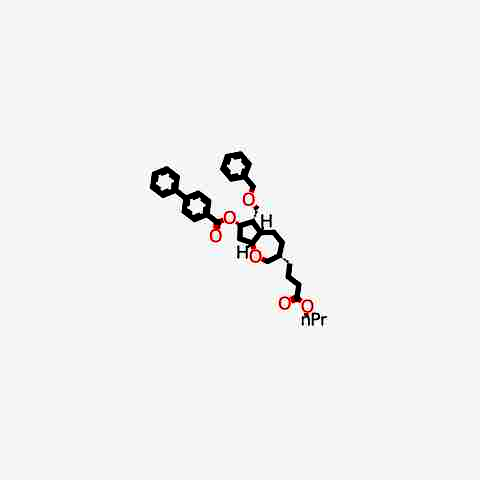 CCCOC(=O)CCC[C@H]1CC[C@@H]2[C@@H](COCc3ccccc3)[C@H](OC(=O)c3ccc(-c4ccccc4)cc3)C[C@@H]2OC1